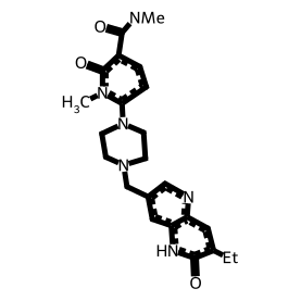 CCc1cc2ncc(CN3CCN(c4ccc(C(=O)NC)c(=O)n4C)CC3)cc2[nH]c1=O